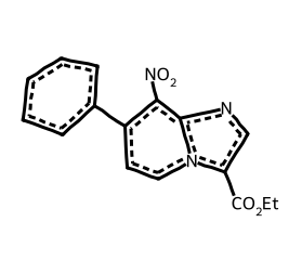 CCOC(=O)c1cnc2c([N+](=O)[O-])c(-c3ccccc3)ccn12